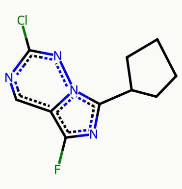 Fc1nc(C2CCCC2)n2nc(Cl)ncc12